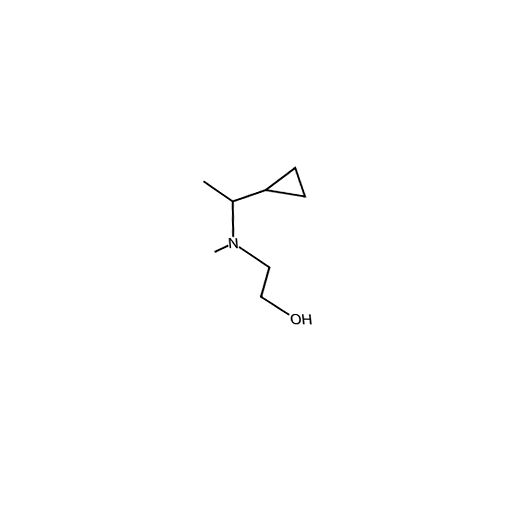 CC(C1CC1)N(C)CCO